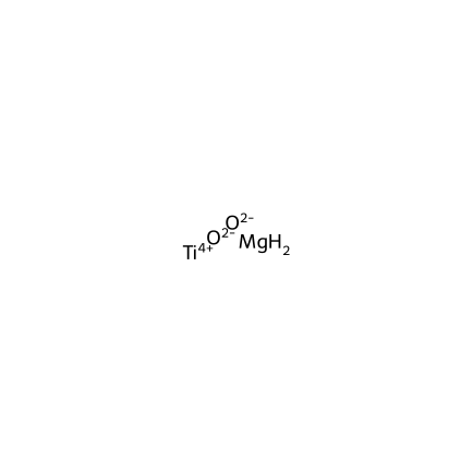 [MgH2].[O-2].[O-2].[Ti+4]